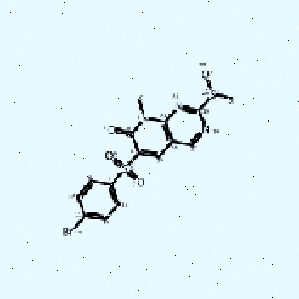 Cn1c(=O)c(S(=O)(=O)c2ccc(Br)cc2)cc2cnc([S+](C)[O-])nc21